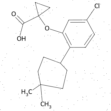 CC1(C)CCC(c2ccc(Cl)cc2OC2(C(=O)O)CC2)CC1